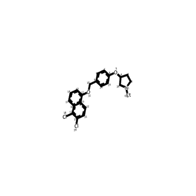 CCN1CCC(Oc2ccc(COc3cccc4c(Cl)c(Cl)ccc34)cc2)C1